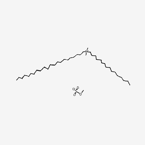 CCCCCCCCCCCCCCCCCCCCCC[N+](C)(C)CCCCCCCCCCCCCCCC.COS(=O)(=O)[O-]